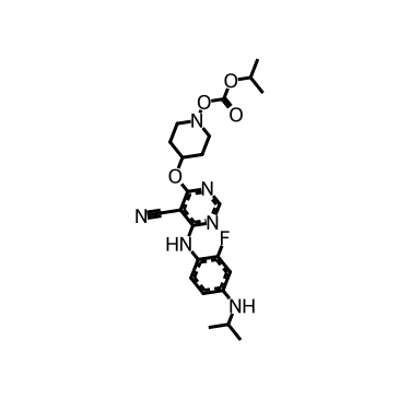 CC(C)Nc1ccc(Nc2ncnc(OC3CCN(OC(=O)OC(C)C)CC3)c2C#N)c(F)c1